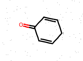 O=C1C=[C][C]C=C1